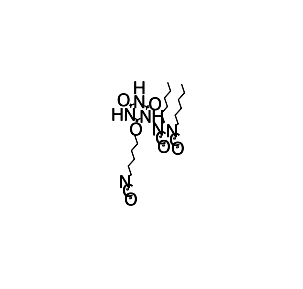 CCCCCCN=C=O.CCCCCCN=C=O.CCCCCCN=C=O.O=c1[nH]c(=O)[nH]c(=O)[nH]1